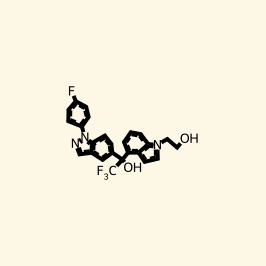 OCCn1ccc2c(C(O)(c3ccc4c(cnn4-c4ccc(F)cc4)c3)C(F)(F)F)cccc21